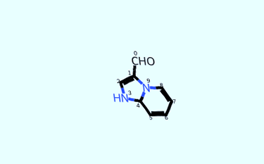 O=CC1=CNC2C=CC=CN12